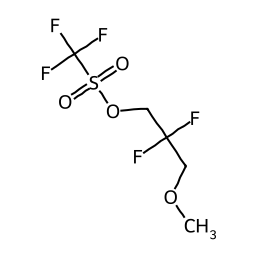 COCC(F)(F)COS(=O)(=O)C(F)(F)F